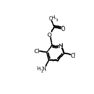 CC(=O)Oc1nc(Cl)cc(N)c1Cl